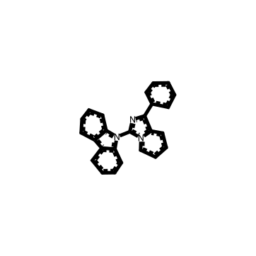 c1ccc(-c2nc(-n3c4ccccc4c4ccccc43)n3ccccc23)cc1